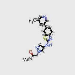 CNC(=O)Cn1cc(Nc2nc3ccc(-c4cncc(C(F)(F)F)c4)cc3s2)cn1